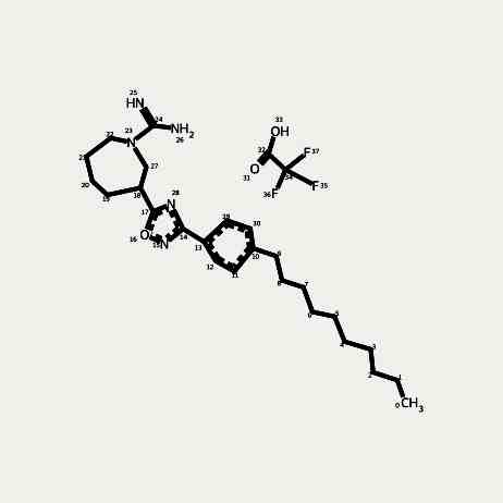 CCCCCCCCCCc1ccc(-c2noc(C3CCCCN(C(=N)N)C3)n2)cc1.O=C(O)C(F)(F)F